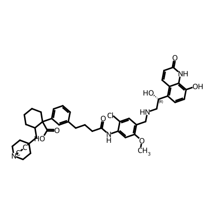 COc1cc(NC(=O)CCCc2cccc(C3(C(=O)O)CCCCC3CC34CCN(CC3)CC4)c2)c(Cl)cc1CNC[C@H](O)c1ccc(O)c2[nH]c(=O)ccc12